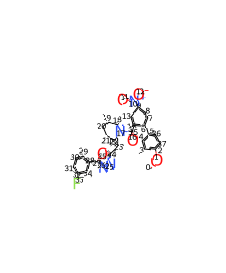 COc1ccc(-c2ccc([N+](=O)[O-])cc2C(=O)N2CCCC[C@H]2Cc2nnc(-c3cccc(F)c3)o2)cc1